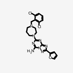 Nc1nc(N2CCCN(Cc3c(Cl)cccc3Cl)CC2)nc2nc(-c3ccco3)nn12